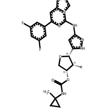 CC1(NC(=O)O[C@@H]2CO[C@H](c3cc(Nc4nc(-c5cc(F)cc(F)c5)cc5nccn45)n[nH]3)[C@@H]2F)CC1